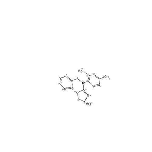 Cc1ccc(N(Cc2cccnc2)C2=NCCS2)c(C)c1.Cl